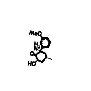 COc1cccc([C@@]2(N)C[C@H](C)C[C@H](O)C2=O)c1